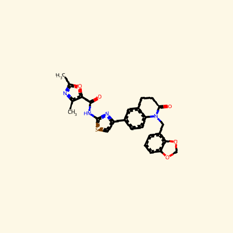 Cc1nc(C)c(C(=O)Nc2nc(-c3ccc4c(c3)CCC(=O)N4Cc3cccc4c3OCO4)cs2)o1